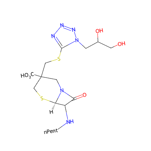 CCCCCNC1C(=O)N2CC(CSc3nnnn3CC(O)CO)(C(=O)O)CS[C@H]12